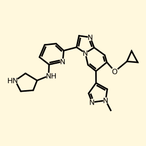 Cn1cc(-c2cn3c(-c4cccc(NC5CCNC5)n4)cnc3cc2OC2CC2)cn1